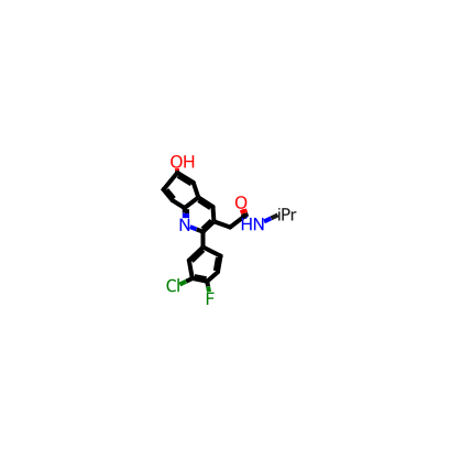 CC(C)NC(=O)Cc1cc2cc(O)ccc2nc1-c1ccc(F)c(Cl)c1